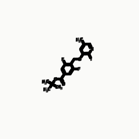 Cc1cnc(I)c(OCc2c(F)cc(C(=O)OC(C)(C)C)cc2F)c1